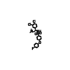 CN(C)CC(NS(=O)(=O)c1ccc(Oc2ccc(F)cc2)cc1)c1ccc(Cl)c(Cl)c1